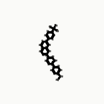 FC(F)(F)c1ccc(-c2ccc3ccc(-c4ccc(-c5ccc(SI)cc5)nc4)cc3c2)cc1